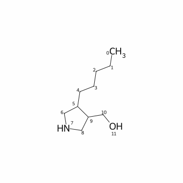 CCCCCC1CNCC1CO